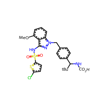 COc1cccc2c1c(NS(=O)(=O)c1ccc(Cl)s1)nn2Cc1ccc(C(NC(=O)O)C(C)(C)C)cc1